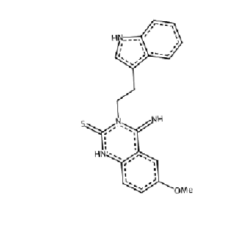 COc1ccc2[nH]c(=S)n(CCc3c[nH]c4ccccc34)c(=N)c2c1